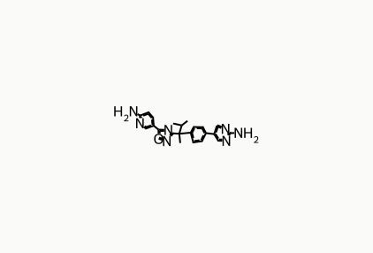 CC(C)C(C)(c1ccc(-c2cnc(N)nc2)cc1)c1noc(-c2ccc(N)nc2)n1